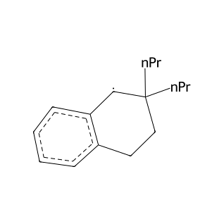 CCCC1(CCC)[CH]c2ccccc2CC1